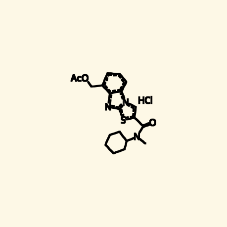 CC(=O)OCc1cccc2c1nc1sc(C(=O)N(C)C3CCCCC3)cn12.Cl